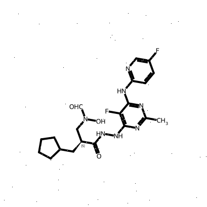 Cc1nc(NNC(=O)[C@@H](CC2CCCC2)CN(O)C=O)c(F)c(Nc2ccc(F)cn2)n1